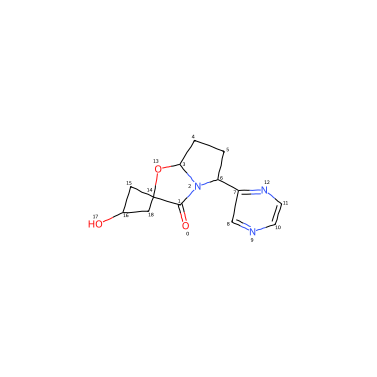 O=C1N2C(CCC2c2cnccn2)OC12CC(O)C2